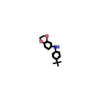 CC(C)(C)c1ccc(Nc2ccc3c(c2)OCCO3)cc1